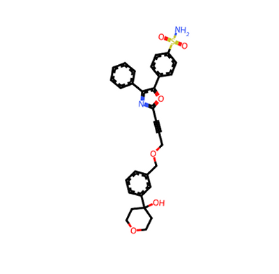 NS(=O)(=O)c1ccc(-c2oc(C#CCOCc3cccc(C4(O)CCOCC4)c3)nc2-c2ccccc2)cc1